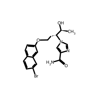 C[C@H](O)[C@@H](CCOc1ccc2ccc(Br)cc2c1)n1cnc(C(N)=O)c1